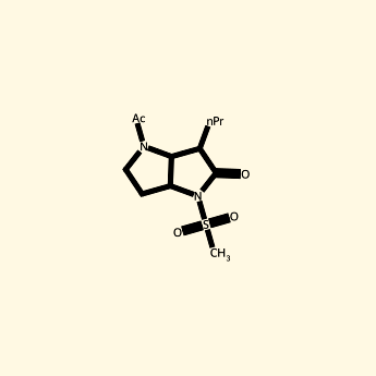 CCCC1C(=O)N(S(C)(=O)=O)C2CCN(C(C)=O)C12